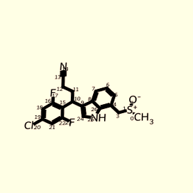 C[S@+]([O-])Cc1cccc2c(C(CCC#N)c3c(F)cc(Cl)cc3F)c[nH]c12